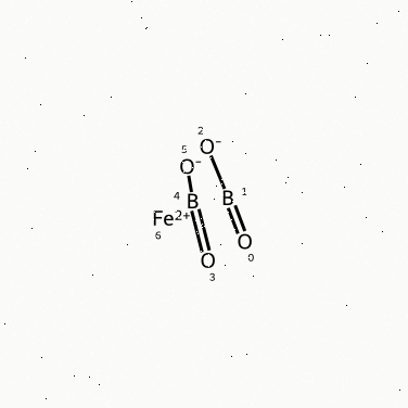 O=B[O-].O=B[O-].[Fe+2]